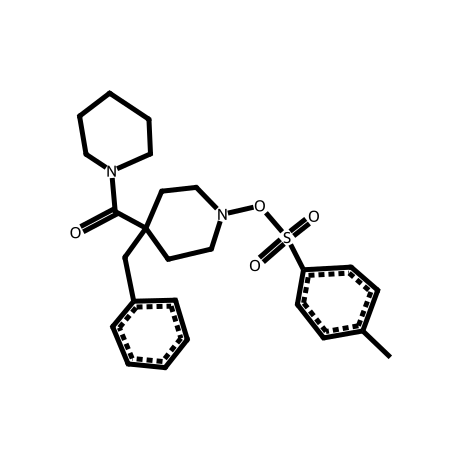 Cc1ccc(S(=O)(=O)ON2CCC(Cc3ccccc3)(C(=O)N3CCCCC3)CC2)cc1